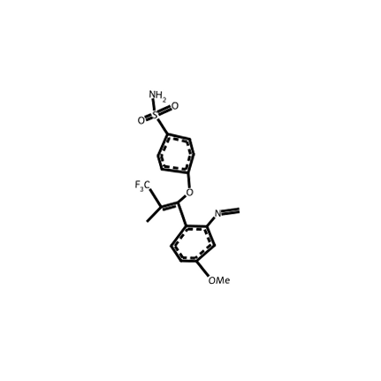 C=Nc1cc(OC)ccc1/C(Oc1ccc(S(N)(=O)=O)cc1)=C(\C)C(F)(F)F